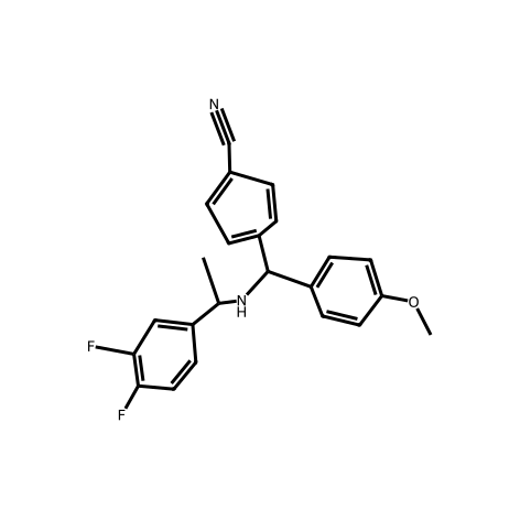 COc1ccc(C(NC(C)c2ccc(F)c(F)c2)c2ccc(C#N)cc2)cc1